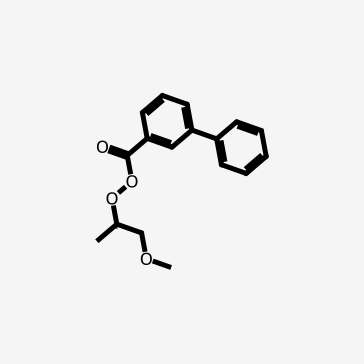 COC[C](C)OOC(=O)c1cccc(-c2ccccc2)c1